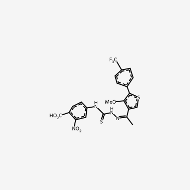 COc1c(C(C)=NNC(=S)Nc2ccc(C(=O)O)c([N+](=O)[O-])c2)csc1-c1ccc(C(F)(F)F)cc1